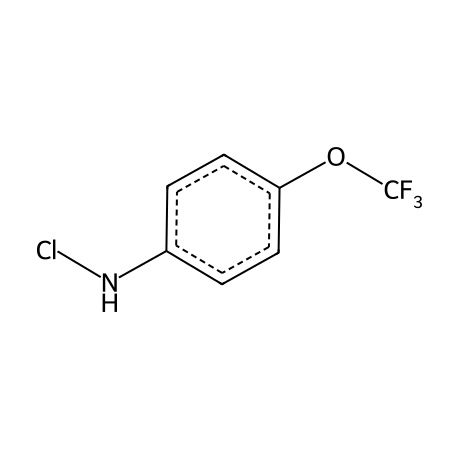 FC(F)(F)Oc1ccc(NCl)cc1